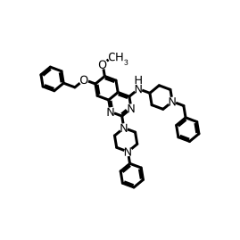 COc1cc2c(NC3CCN(Cc4ccccc4)CC3)nc(N3CCN(c4ccccc4)CC3)nc2cc1OCc1ccccc1